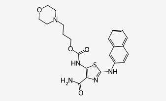 NC(=O)c1nc(Nc2ccc3ccccc3c2)sc1NC(=O)OCCCN1CCOCC1